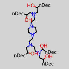 CCCCCCCCCCC(O)CN(CCN1CCN(CCN(CC(O)CCCCCCCCCC)CC(O)CCCCCCCCCC)CC1)CCN(CC(O)CCCCCCCCCC)C(O)CCCCCCCCCC